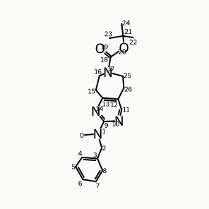 CN(Cc1ccccc1)c1ncc2c(n1)CCN(C(=O)OC(C)(C)C)CC2